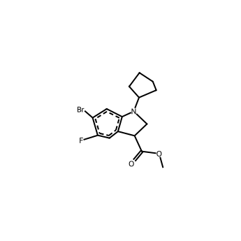 COC(=O)C1CN(C2CCCC2)c2cc(Br)c(F)cc21